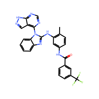 Cc1ccc(NC(=O)c2cccc(C(F)(F)F)c2)cc1Nc1nc2ccccc2n1-c1ncnc2[nH]ncc12